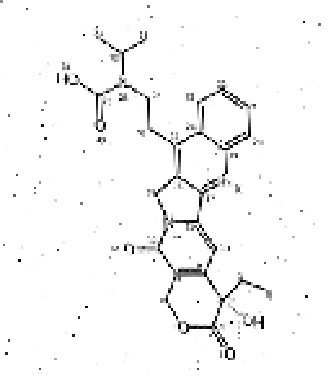 CC[C@@]1(O)C(=O)OCc2c1cc1n(c2=O)Cc2c-1nc1ccccc1c2CCN(C(=O)O)C(C)C